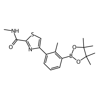 CNC(=O)c1nc(-c2cccc(B3OC(C)(C)C(C)(C)O3)c2C)cs1